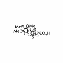 COc1cc(C)c(C=C2SC(=S)N(CCC(=O)O)C2=O)c(OC)c1OC